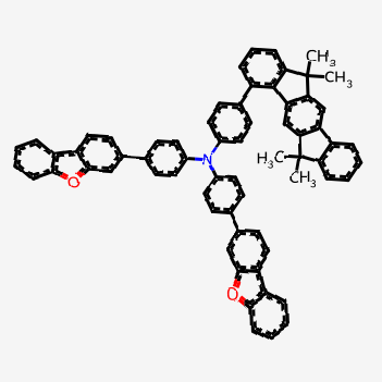 CC1(C)c2ccccc2-c2cc3c(cc21)-c1c(-c2ccc(N(c4ccc(-c5ccc6c(c5)oc5ccccc56)cc4)c4ccc(-c5ccc6c(c5)oc5ccccc56)cc4)cc2)cccc1C3(C)C